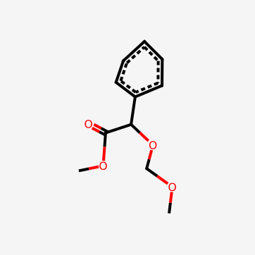 COCOC(C(=O)OC)c1ccccc1